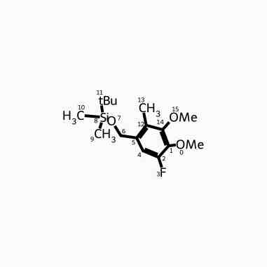 COc1c(F)cc(CO[Si](C)(C)C(C)(C)C)c(C)c1OC